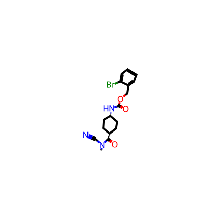 CN(C#N)C(=O)[C@H]1CC[C@H](NC(=O)OCc2ccccc2Br)CC1